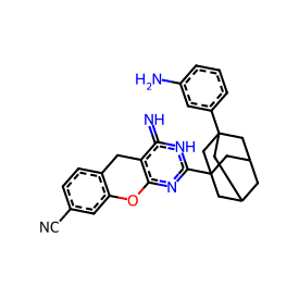 N#Cc1ccc2c(c1)Oc1nc(C34CC5CC(CC(c6cccc(N)c6)(C5)C3)C4)[nH]c(=N)c1C2